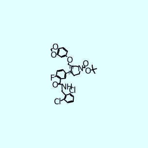 CC(C)(C)OC(=O)N1CC[C@@H](c2ccc(F)c(C(=O)NCc3c(Cl)cccc3Cl)c2)[C@@H](COc2ccc3c(c2)OCO3)C1